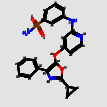 NS(=O)(=O)c1cccc(Nc2cc(Oc3oc(C4CC4)nc3-c3ccccc3)ccn2)c1